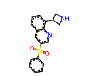 O=S(=O)(c1ccccc1)c1cnc2c(C3CNC3)cccc2c1